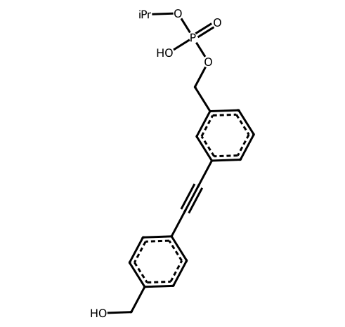 CC(C)OP(=O)(O)OCc1cccc(C#Cc2ccc(CO)cc2)c1